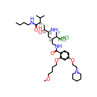 CCCCNC(=O)[C@@H](C[C@H](O)[C@@H](N)C[C@H](CNC(=O)c1ccc(OCCN2CCCCC2)cc1OCCCCOC)C(C)C)C(C)C.Cl.Cl